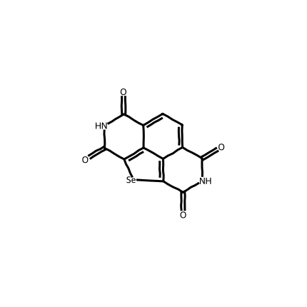 O=C1NC(=O)c2[se]c3c4c(ccc1c24)C(=O)NC3=O